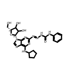 O=C(NN=Nc1nc(NC2CCCC2)c2ncn([C@@H]3O[C@H](CO)C(O)C3O)c2n1)Nc1ccccc1